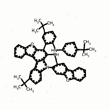 CC(C)(C)c1ccc(Nc2ccc(C(C)(C)C)cc2-c2c3c4c(c5cc(C(C)(C)C)ccc5n4-c4cc5oc6ccccc6c5cc4B3)c3c2oc2ccccc23)cc1